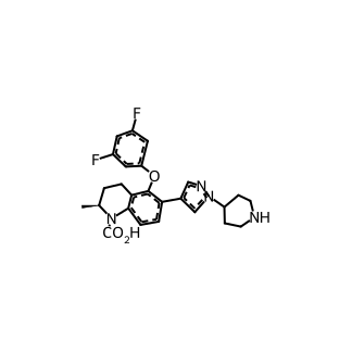 C[C@H]1CCc2c(ccc(-c3cnn(C4CCNCC4)c3)c2Oc2cc(F)cc(F)c2)N1C(=O)O